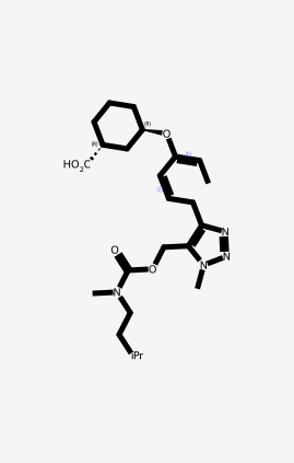 C/C=C(\C=C/Cc1nnn(C)c1COC(=O)N(C)CCC(C)C)O[C@@H]1CCC[C@@H](C(=O)O)C1